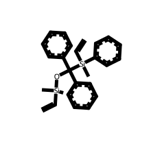 C=C[Si](C)(C)OC(c1ccccc1)(c1ccccc1)[Si](C)(C=C)c1ccccc1